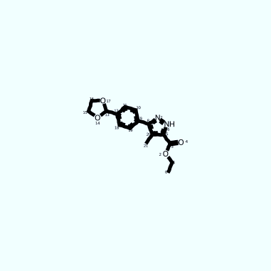 CCOC(=O)c1[nH]nc(-c2ccc(C3OCCO3)cc2)c1C